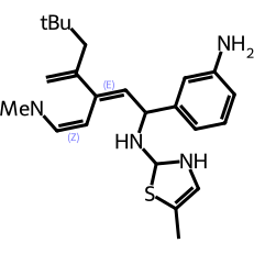 C=C(CC(C)(C)C)C(/C=C\NC)=C/C(NC1NC=C(C)S1)c1cccc(N)c1